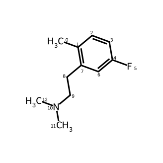 Cc1ccc(F)cc1CCN(C)C